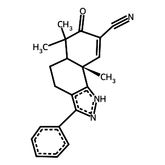 CC1(C)C(=O)C(C#N)=C[C@]2(C)c3[nH]nc(-c4ccccc4)c3CCC12